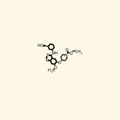 C#Cc1cccc(Nc2ncnc3cc(OC)c(OC4CCN(C(=O)OCC)CC4)cc23)c1